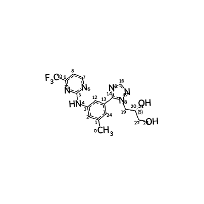 Cc1cc(Nc2nccc(C(F)(F)F)n2)cc(-c2ncnn2C[C@H](O)CO)c1